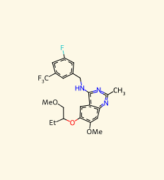 CCC(COC)Oc1cc2c(NCc3cc(F)cc(C(F)(F)F)c3)nc(C)nc2cc1OC